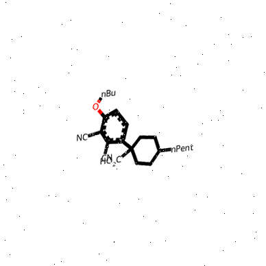 CCCCCC1CCC(C(=O)O)(c2ccc(OCCCC)c(C#N)c2C#N)CC1